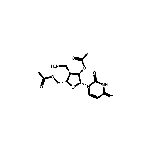 CC(=O)OC[C@H]1O[C@@H](n2ccc(=O)[nH]c2=O)[C@H](OC(C)=O)[C@@H]1CN